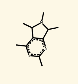 Cc1nc(C)c2c(n1)C(C)N(C)C2C